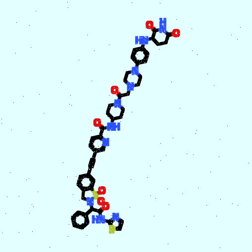 O=C1CCC(Nc2ccc(N3CCN(CC(=O)N4CCC(NC(=O)c5ccc(C#Cc6ccc7c(c6)S(=O)(=O)N(C(C(=O)Nc6nccs6)c6ccccc6)C7)cn5)CC4)CC3)cc2)C(=O)N1